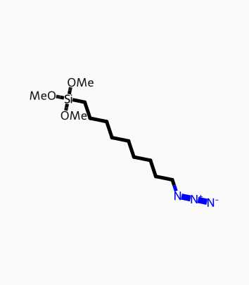 CO[Si](CCCCCCCCCN=[N+]=[N-])(OC)OC